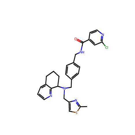 Cc1nc(CN(Cc2ccc(CNC(=O)c3ccnc(Cl)c3)cc2)C2CCCc3cccnc32)cs1